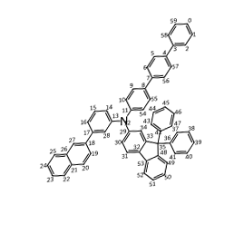 c1ccc(-c2ccc(-c3ccc(N(c4cccc(-c5ccc6ccccc6c5)c4)c4ccc5c(c4)C(c4ccccc4)(c4ccccc4)c4ccccc4-5)cc3)cc2)cc1